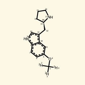 [2H]C([2H])([2H])Oc1ccc2[nH]cc(C[C@H]3CCCN3)c2c1